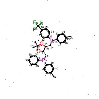 Cc1ccc(P(C[C@@H]2OC(C)(C)O[C@H]2CP(c2ccc(C)cc2)c2ccc(C(F)(F)F)cc2)c2ccccc2)cc1